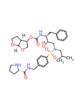 CC(C)CN(C[C@@H](O)[C@H](Cc1ccccc1)NC(=O)O[C@H]1CO[C@H]2OCC[C@H]21)S(=O)(=O)c1ccc(CNC(=O)[C@@H]2CCCN2)cc1